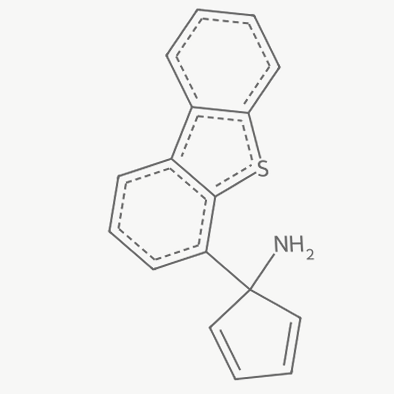 NC1(c2cccc3c2sc2ccccc23)C=CC=C1